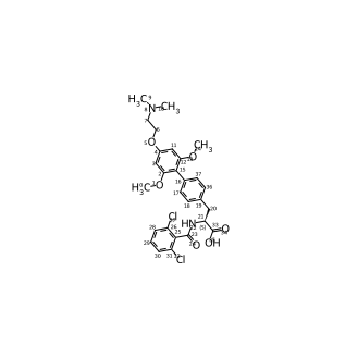 COc1cc(OCCN(C)C)cc(OC)c1-c1ccc(C[C@H](NC(=O)c2c(Cl)cccc2Cl)C(=O)O)cc1